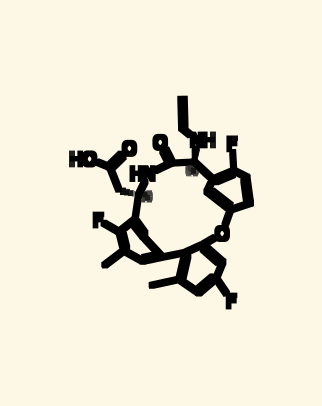 C=CN[C@@H]1C(=O)N[C@@H](CC(=O)O)c2cc(cc(C)c2F)-c2c(C)cc(F)cc2Oc2ccc(F)c1c2